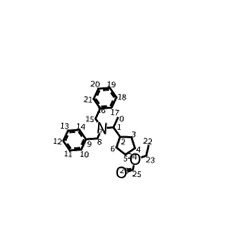 CC(C1CCCC1)N(Cc1ccccc1)Cc1ccccc1.CCOC=O